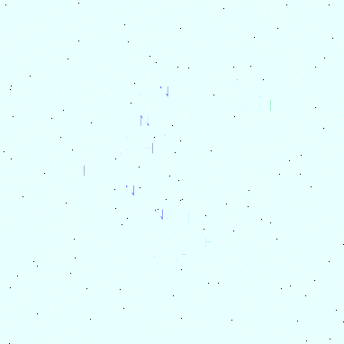 FC(F)(F)c1cccc(N2C[C@H]3CC[C@H](n4cnc(-c5ccc(Cl)cc5)c4)[C@H]3C2)n1